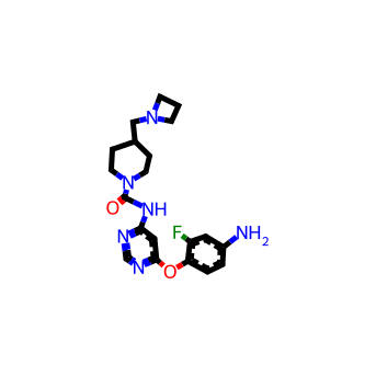 Nc1ccc(Oc2cc(NC(=O)N3CCC(CN4CCC4)CC3)ncn2)c(F)c1